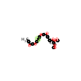 Cc1ccc(C(=O)c2ccc(Oc3ccc(C(c4ccc(Oc5ccc(C(=O)c6ccc(-c7ccc(C)c(C(=O)c8ccc(OC9CCCCO9)cc8OC8CCCCO8)c7)cc6)cc5)cc4)(C(F)(F)F)C(F)(F)F)cc3)cc2)cc1